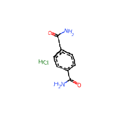 Cl.NC(=O)c1ccc(C(N)=O)cc1